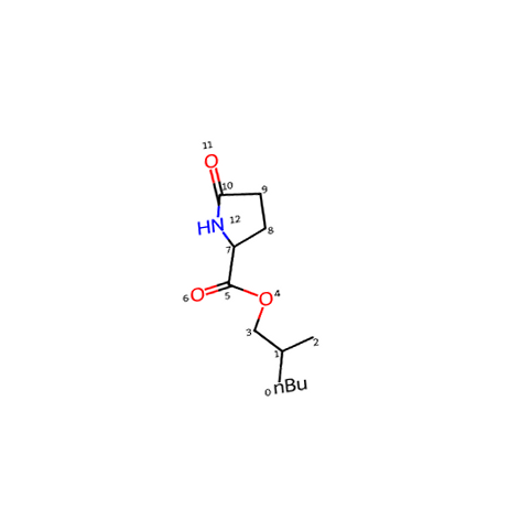 CCCCC(C)COC(=O)C1CCC(=O)N1